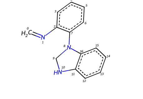 C=Nc1ccccc1N1CNc2ccccc21